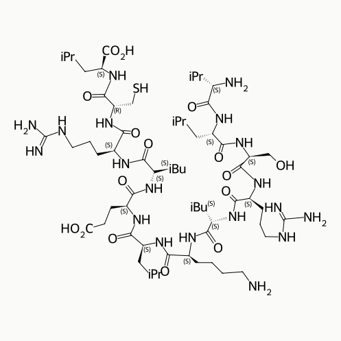 CC[C@H](C)[C@H](NC(=O)[C@H](CCC(=O)O)NC(=O)[C@H](CC(C)C)NC(=O)[C@H](CCCCN)NC(=O)[C@@H](NC(=O)[C@H](CCCNC(=N)N)NC(=O)[C@H](CO)NC(=O)[C@H](CC(C)C)NC(=O)[C@@H](N)C(C)C)[C@@H](C)CC)C(=O)N[C@@H](CCCNC(=N)N)C(=O)N[C@@H](CS)C(=O)N[C@@H](CC(C)C)C(=O)O